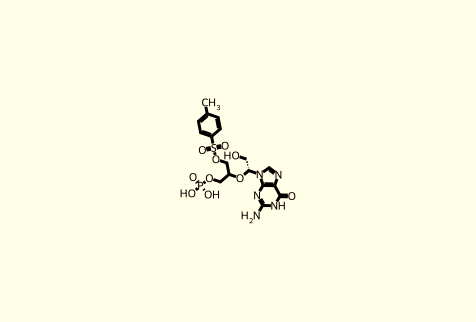 Cc1ccc(S(=O)(=O)OCC(COP(=O)(O)O)O[C@H](CO)n2cnc3c(=O)[nH]c(N)nc32)cc1